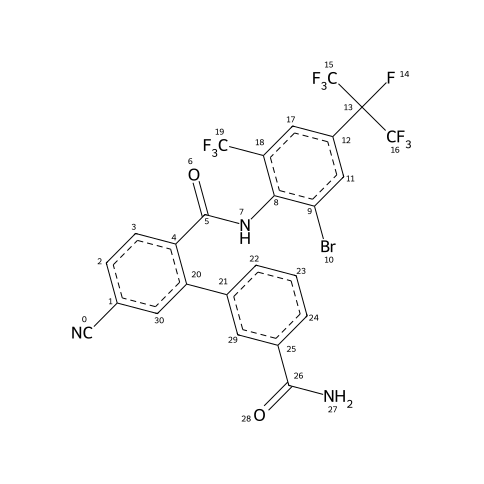 N#Cc1ccc(C(=O)Nc2c(Br)cc(C(F)(C(F)(F)F)C(F)(F)F)cc2C(F)(F)F)c(-c2cccc(C(N)=O)c2)c1